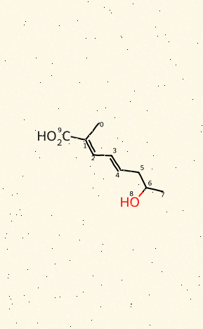 C/C(=C\C=C\CC(C)O)C(=O)O